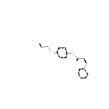 C=CCSc1ccc(NC(=O)/C=C\c2ccccc2)cc1